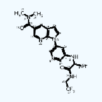 CC(C)C(Nc1cncc(-n2ccc3cc(C(=O)N(C)C)cnc32)c1)C(=O)NCC(F)(F)F